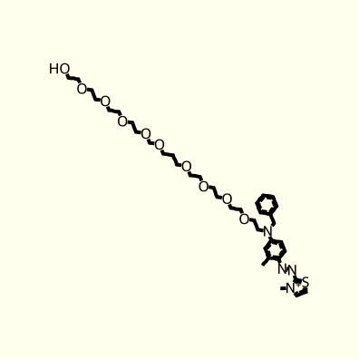 Cc1cc(N(CCOCCOCCOCCOCCCOCOCCOCCOCCOCCO)Cc2ccccc2)ccc1/N=N/c1scc[n+]1C